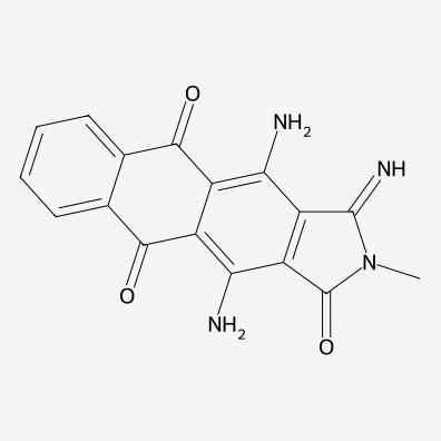 Cn1c(=N)c2c(N)c3c(=O)c4ccccc4c(=O)c3c(N)c2c1=O